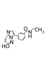 CCNC(=O)c1cccc(-c2cnc3ccc(O)nn23)c1